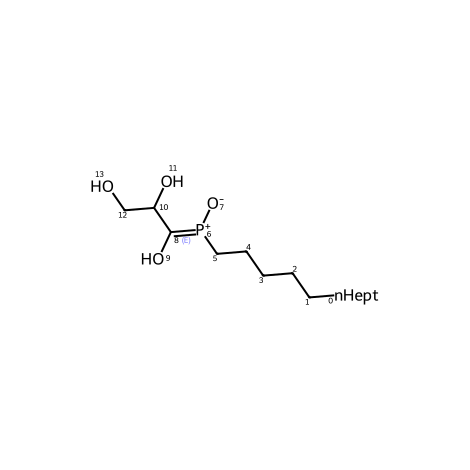 CCCCCCCCCCCC/[P+]([O-])=C(\O)C(O)CO